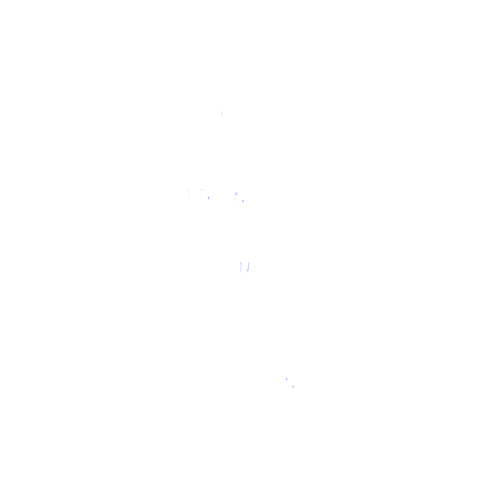 COC(=O)c1ccc2nc(-c3cccc4c3c(Cl)cn4CCCCC3CCNCC3)[nH]c2c1